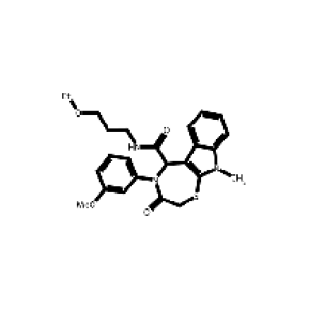 CCOCCCNC(=O)C1c2c(n(C)c3ccccc23)SCC(=O)N1c1cccc(OC)c1